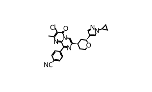 Cc1nc2c(-c3ccc(C#N)cc3)nc([C@@H]3CCO[C@H](c4cnn(C5CC5)c4)C3)cn2c(=O)c1Cl